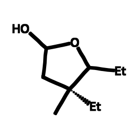 CCC1OC(O)C[C@@]1(C)CC